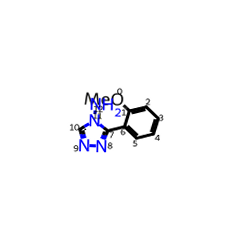 COc1ccccc1-c1nn[c]n1N